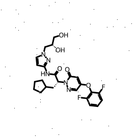 O=C(Nc1ccn(C[C@@H](O)CO)n1)[C@@H](CC1CCCC1)n1ncc(Oc2c(F)cccc2F)cc1=O